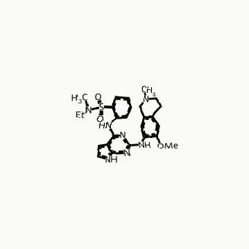 CCN(C)S(=O)(=O)c1ccccc1Nc1nc(Nc2cc3c(cc2OC)CCN(C)C3)nc2[nH]ccc12